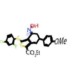 CCOC(=O)c1sc(Sc2ccc(F)cc2F)c2c1CC(c1ccc(OC)cc1)C/C2=N\O